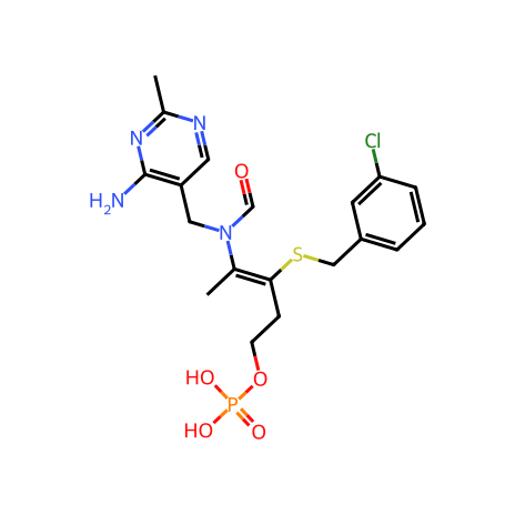 C/C(=C(\CCOP(=O)(O)O)SCc1cccc(Cl)c1)N(C=O)Cc1cnc(C)nc1N